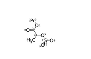 CC(C)OC(=O)C(C)O[SH](=O)=O